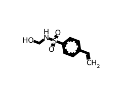 C=Cc1ccc(S(=O)(=O)NCO)cc1